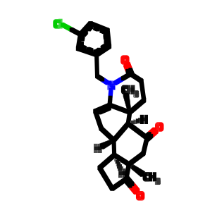 C[C@]12CCC(=O)N(Cc3cccc(Cl)c3)C1=CC[C@@H]1[C@@H]2C(=O)C[C@]2(C)C(=O)CC[C@@H]12